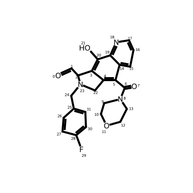 O=CC1c2c(c(C(=O)N3CCOCC3)c3cccnc3c2O)CN1Cc1ccc(F)cc1